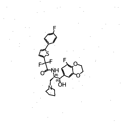 O=C(N[C@H](CN1CCCC1)[C@H](O)c1cc(F)c2c(c1)OCCO2)C(F)(F)c1ccc(-c2ccc(F)cc2)s1